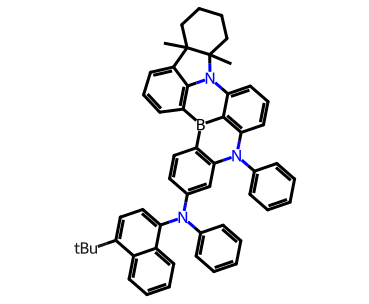 CC(C)(C)c1ccc(N(c2ccccc2)c2ccc3c(c2)N(c2ccccc2)c2cccc4c2B3c2cccc3c2N4C2(C)CCCCC32C)c2ccccc12